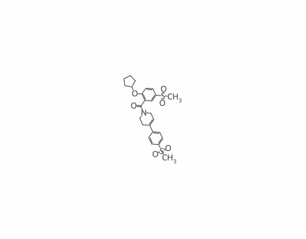 CS(=O)(=O)c1ccc(C2=CCN(C(=O)c3cc(S(C)(=O)=O)ccc3OC3CCCC3)CC2)cc1